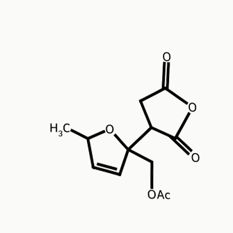 CC(=O)OCC1(C2CC(=O)OC2=O)C=CC(C)O1